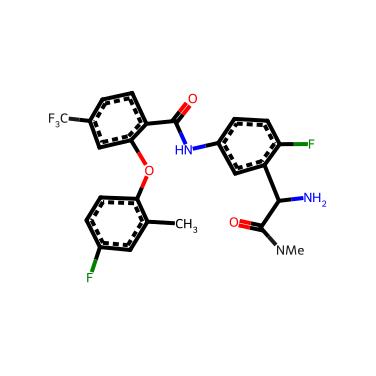 CNC(=O)C(N)c1cc(NC(=O)c2ccc(C(F)(F)F)cc2Oc2ccc(F)cc2C)ccc1F